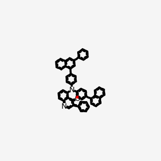 c1ccc(-c2cc(-c3ccc(N(c4ccc(-c5cccc6ccccc56)cc4)c4cccc5ncc6c7ccccc7oc6c45)cc3)c3ccccc3c2)cc1